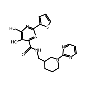 O=C(NCC1CCCN(c2ncccn2)C1)c1nc(-c2cccs2)nc(O)c1O